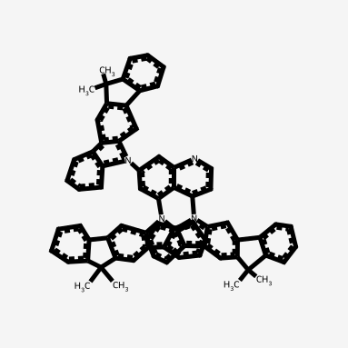 CC1(C)c2ccccc2-c2cc3c(cc21)c1ccccc1n3-c1cc(-n2c3ccccc3c3cc4c(cc32)-c2ccccc2C4(C)C)c2c(-n3c4ccccc4c4cc5c(cc43)-c3ccccc3C5(C)C)ccnc2c1